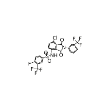 O=C1c2c(Cl)ccc(NS(=O)(=O)c3ccc(F)c(C(F)(F)F)c3)c2C(=O)N1c1cccc(C(F)(F)F)c1